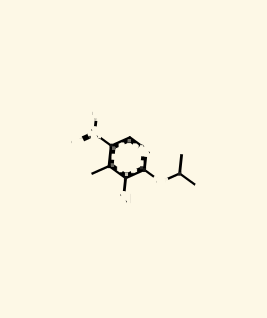 Cc1c([N+](=O)[O-])cnc(OC(C)C)c1N